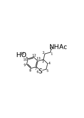 CC(=O)NCCC1CCSc2ccc(O)cc21